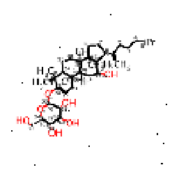 C=C(CCCC(C)C)[C@H]1CC[C@@]2(C)[C@@H]1C(O)C[C@@H]1[C@@]3(C)CC=C(O[C@@H]4O[C@H](CO)[C@@H](O)[C@H](O)[C@H]4O)C(C)(C)C3CC[C@]12C